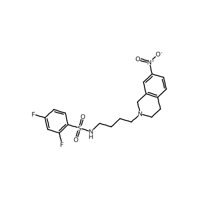 O=[N+]([O-])c1ccc2c(c1)CN(CCCCNS(=O)(=O)c1ccc(F)cc1F)CC2